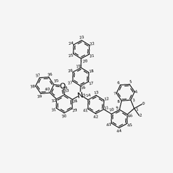 CC1(C)c2ccccc2-c2c(-c3ccc(N(c4ccc(-c5ccccc5)cc4)c4cccc5c4oc4ccccc45)cc3)cccc21